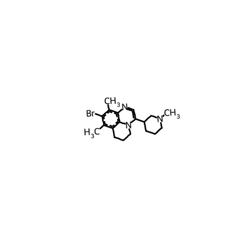 Cc1c(Br)c(C)c2c3c1CCCN3C(C1CCCN(C)C1)=C=N2